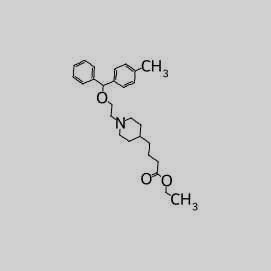 CCOC(=O)CCCC1CCN(CCOC(c2ccccc2)c2ccc(C)cc2)CC1